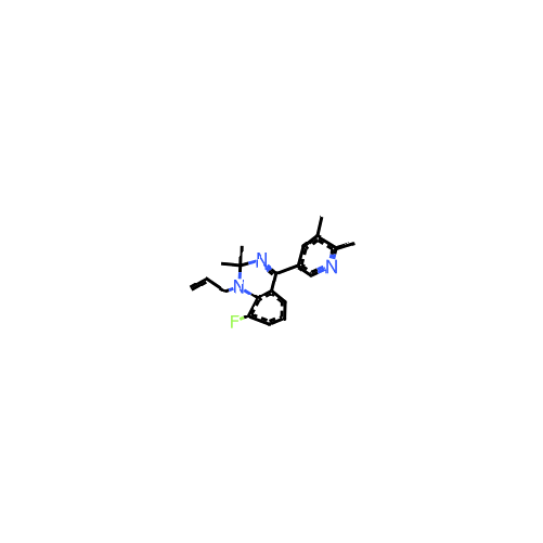 C=CCN1c2c(F)cccc2C(c2cnc(C)c(C)c2)=NC1(C)C